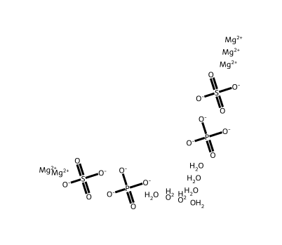 O.O.O.O.O.O.O.O=P([O-])([O-])[O-].O=P([O-])([O-])[O-].O=S(=O)([O-])[O-].O=S(=O)([O-])[O-].[Mg+2].[Mg+2].[Mg+2].[Mg+2].[Mg+2]